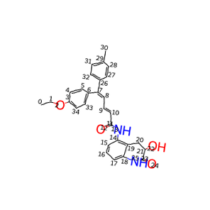 CCOc1ccc(C(=CC=CC(=O)Nc2cccc3c2CC(O)C(=O)N3)c2ccc(C)cc2)cc1